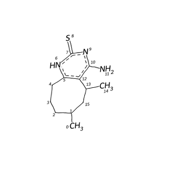 CC1CCCc2[nH]c(=S)nc(N)c2C(C)C1